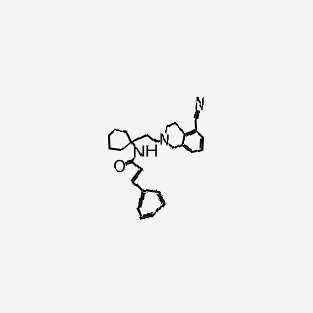 N#Cc1cccc2c1CCN(CCC1(NC(=O)C=Cc3ccccc3)CCCCC1)C2